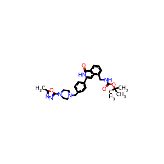 Cc1nnc(N2CCN(Cc3ccc(-c4cc5c(CNC(=O)OC(C)(C)C)cccc5c(=O)[nH]4)cc3)CC2)o1